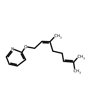 CC(C)=CCCC(C)=CCOc1ccccn1